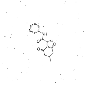 CC1CC(=O)c2c(C(=O)Nc3cccnc3)coc2C1